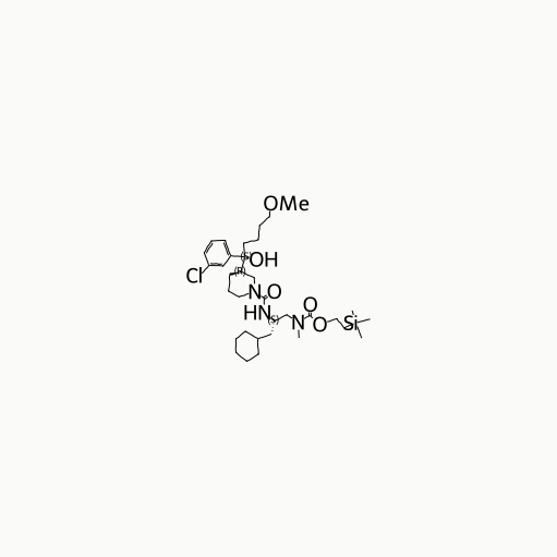 COCCCC[C@@](O)(c1cccc(Cl)c1)[C@@H]1CCCN(C(=O)N[C@@H](CC2CCCCC2)CN(C)C(=O)OCC[Si](C)(C)C)C1